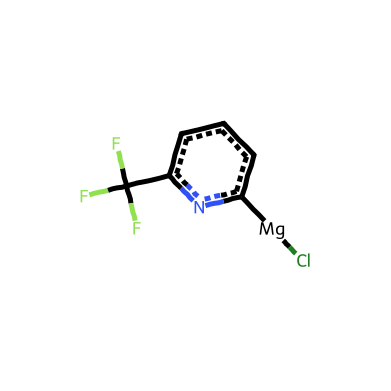 FC(F)(F)c1ccc[c]([Mg][Cl])n1